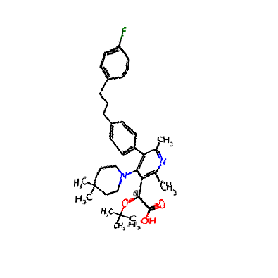 Cc1nc(C)c([C@H](OC(C)(C)C)C(=O)O)c(N2CCC(C)(C)CC2)c1-c1ccc(CCCc2ccc(F)cc2)cc1